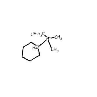 C[N+](C)(C)[SiH]1CCCCC1.[LiH]